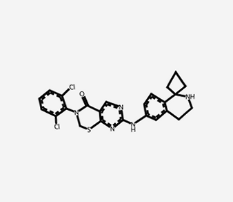 O=C1c2cnc(Nc3ccc4c(c3)CCNC43CCC3)nc2SCN1c1c(Cl)cccc1Cl